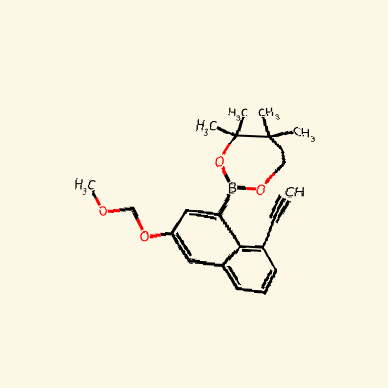 C#Cc1cccc2cc(OCOC)cc(B3OCC(C)(C)C(C)(C)O3)c12